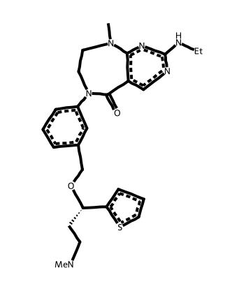 CCNc1ncc2c(n1)N(C)CCN(c1cccc(CO[C@@H](CCNC)c3cccs3)c1)C2=O